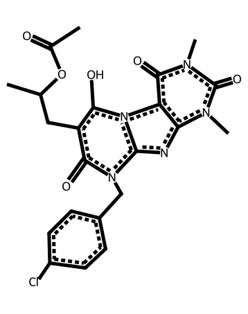 CC(=O)OC(C)Cc1c(O)n2c3c(=O)n(C)c(=O)n(C)c3nc2n(Cc2ccc(Cl)cc2)c1=O